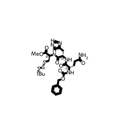 COC(=O)[C@H](CSSSC(C)(C)C)NC(=O)[C@H](Cc1c[nH]cn1)NC(=O)[C@H](CCC(N)=O)NC(=O)OCc1ccccc1